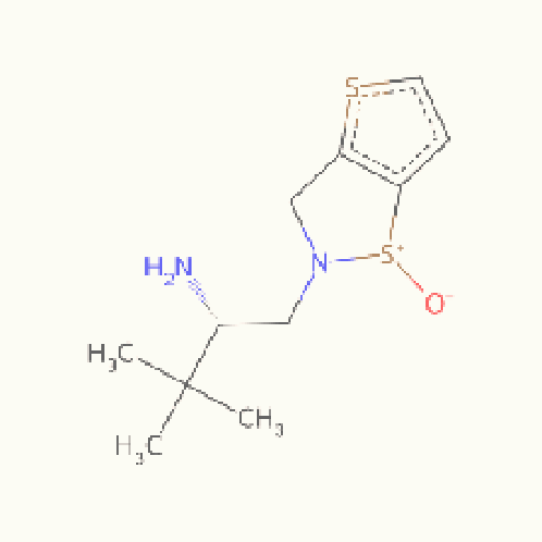 CC(C)(C)[C@H](N)CN1Cc2sccc2[S+]1[O-]